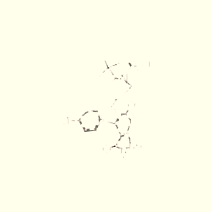 Cn1[nH]c2cc(=O)n(CC3CCN(C(=O)O)C(C(C)(C)C)C3)c(-c3ccc(Cl)cc3)c2c1=O